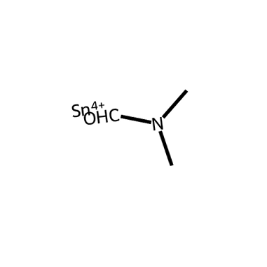 CN(C)C=O.[Sn+4]